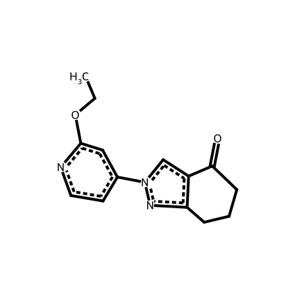 CCOc1cc(-n2cc3c(n2)CCCC3=O)ccn1